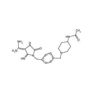 CC(=O)NC1CCN(Cc2ccc(CN3C(=N)C(=C(N)N)NC3=O)cc2)CC1